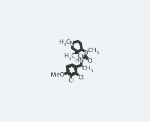 COc1ccc([C@@H](C)NC(=O)N(C)C2CCN(C)CC2(C)C)c(Cl)c1Cl